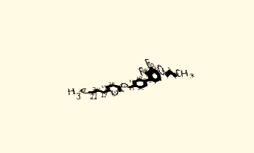 CCCCOc1ccc(C2CCC(COC3CCC(CCCC)OC3)CC2)c(F)c1F